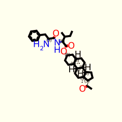 CCC(C)[C@H](NC(=O)[C@@H](N)Cc1ccccc1)C(=O)O[C@@H]1CC[C@@]2(C)[C@@H](CC[C@@H]3[C@@H]2CC[C@]2(C)[C@@H](C(C)=O)CC[C@@H]32)C1